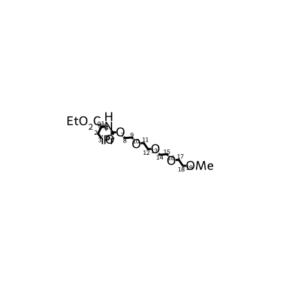 CCOC(=O)[C@H](CC(C)C)NC(=O)OCCOCCOCCOCCOC